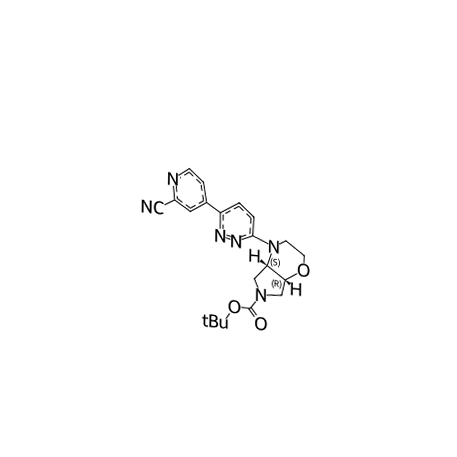 CC(C)(C)OC(=O)N1C[C@H]2OCCN(c3ccc(-c4ccnc(C#N)c4)nn3)[C@H]2C1